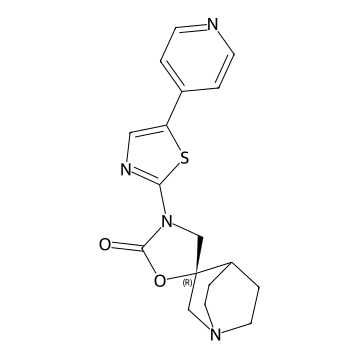 O=C1O[C@]2(CN3CCC2CC3)CN1c1ncc(-c2ccncc2)s1